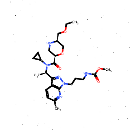 CCOC[C@H]1CO[C@@H](C(=O)N(C2CC2)[C@H](C)c2nn(CCCNC(=O)OC)c3nc(C)ccc23)CN1